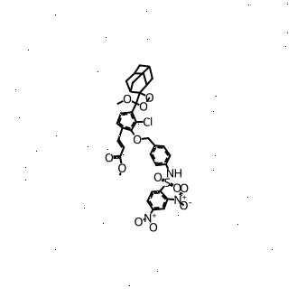 COC(=O)/C=C/c1ccc(C2(OC)OOC23C2CC4CC(C2)CC3C4)c(Cl)c1OCc1ccc(NS(=O)(=O)c2ccc([N+](=O)[O-])cc2[N+](=O)[O-])cc1